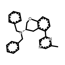 Cc1cncc(-c2cccc3c2C[C@H](N(Cc2ccccc2)Cc2ccccc2)CO3)n1